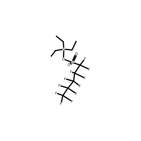 CC[Si](CC)(CC)OS(=O)(=O)C(F)(F)C(F)(F)C(F)(F)C(F)(F)C(F)(F)F